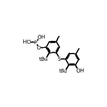 Cc1cc(O)c(C(C)(C)C)c(Sc2cc(C)cc(OP(O)O)c2C(C)(C)C)c1